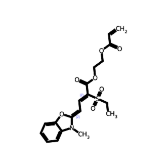 C=CC(=O)OCCOC(=O)/C(=C/C=C1\Oc2ccccc2N1C)S(=O)(=O)CC